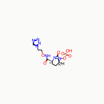 O=C(NOCCn1cnnn1)[C@@H]1CC[C@@H]2CN1C(=O)N2OS(=O)(=O)O